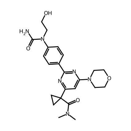 CN(C)C(=O)C1(c2cc(N3CCOCC3)nc(-c3ccc(N(CCO)C(N)=O)cc3)n2)CC1